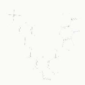 Cc1c(C(=O)O)ccc2c1CC[C@@H]2NC(=O)c1cc(C(=O)NCc2cccc(OC(F)(F)F)c2)nc2ccnn12